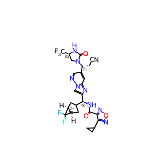 N#CC[C@H](c1cnn2cc([C@@H](NC(=O)c3nonc3C3CC3)C3C[C@@H]4[C@H](C3)C4(F)F)nc2c1)N1C[C@@H](C(F)(F)F)NC1=O